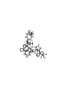 CC(C)(C)OC(=O)N1CCCC1Cn1cc(C(=O)NCC2CCC(F)(F)CC2)c2c(Cl)cccc21